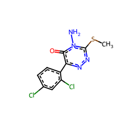 CSc1nnc(-c2ccc(Cl)cc2Cl)c(=O)n1N